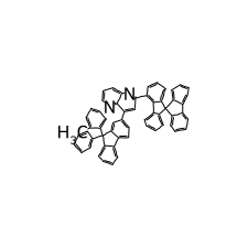 Cc1ccccc1C1(c2ccccc2)c2ccccc2-c2ccc(-c3cc(-c4cccc5c4-c4ccccc4C54c5ccccc5-c5ccccc54)nc4cccnc34)cc21